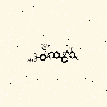 COCCn1c(Cc2c(F)cc(-c3cccnc3OC(C)c3ccc(Cl)cc3F)cc2F)nc2ccc(C(=O)OC)cc21